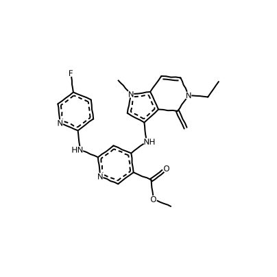 C=C1c2c(Nc3cc(Nc4ccc(F)cn4)ncc3C(=O)OC)cn(C)c2C=CN1CC